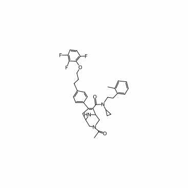 CC(=O)N1CC2CC(c3ccc(CCCOc4c(F)ccc(F)c4F)cc3)=C(C(=O)N(CCc3ccccc3C)C3CC3)C(C1)N2